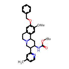 COc1cc2c(cc1OCc1ccccc1)CCN1CC(c3cc(C)ccn3)C(NC(=O)OC(C)(C)C)CC21